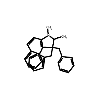 CC1N(C)c2ccc3ccccc3c2C1(Cc1ccccc1)Cc1ccccc1